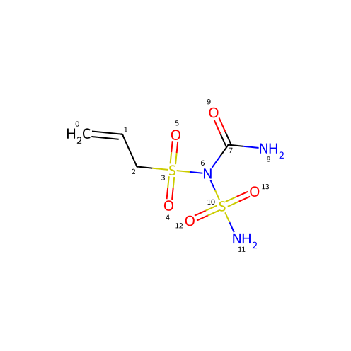 C=CCS(=O)(=O)N(C(N)=O)S(N)(=O)=O